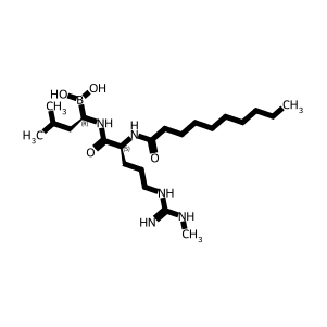 CCCCCCCCCC(=O)N[C@@H](CCCNC(=N)NC)C(=O)N[C@@H](CC(C)C)B(O)O